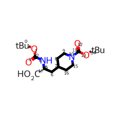 CC(C)(C)OC(=O)N[C@H](CC1CCN(C(=O)OC(C)(C)C)CC1)C(=O)O